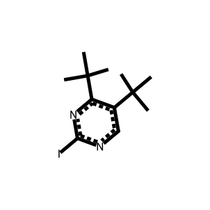 CC(C)(C)c1cnc(I)nc1C(C)(C)C